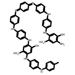 Cc1ccc(Nc2ccc(Nc3cc(O)c(Nc4ccc(Nc5ccc(N=C6C=CC(=Nc7ccc(Nc8ccc(Nc9cc(O)c(N)cc9S(=O)(=O)O)cc8)cc7)C=C6)cc5)cc4)cc3S(=O)(=O)O)cc2)cc1